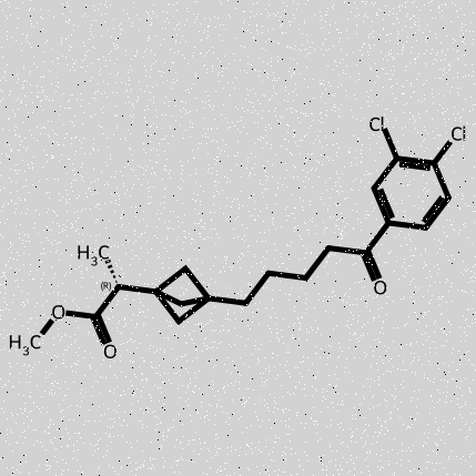 COC(=O)[C@H](C)C12CC(CCCCC(=O)c3ccc(Cl)c(Cl)c3)(C1)C2